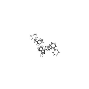 c1cc(N2CCCCC2)c2cc(-c3n[nH]c4ncc(-c5cncc(OC6CCCCC6)c5)cc34)[nH]c2n1